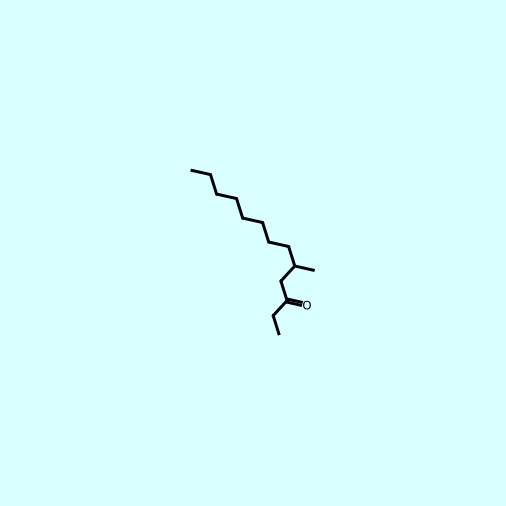 CCCCCCCCC(C)CC(=O)CC